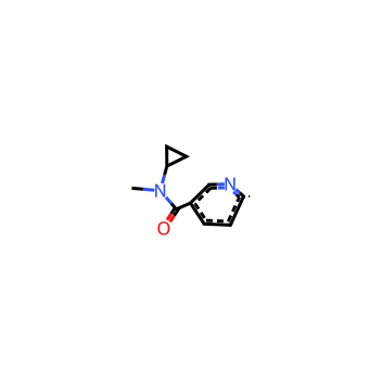 CN(C(=O)c1cc[c]nc1)C1CC1